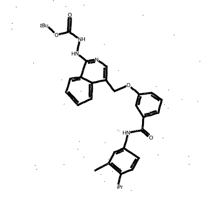 Cc1cc(NC(=O)c2cccc(OCc3cnc(NNC(=O)OC(C)(C)C)c4ccccc34)c2)ccc1C(C)C